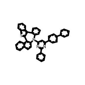 c1ccc(-c2ccc(-c3cc(N4c5ccccc5-c5c(sc6ccccc56)-c5c4ccc4ccccc54)nc(-c4ccccc4)n3)cc2)cc1